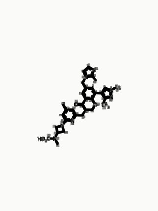 CCn1cc(-c2cc(Cn3ccnc3C)cc3c2OC[C@@H](Cc2cc(C)cc(N4CC(N(C)C(=O)O)C4)n2)C3=O)c(C(F)(F)F)n1